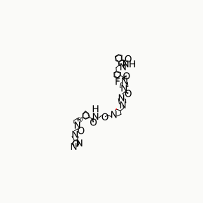 O=C(NCCOCCN1CCC(CN2CCN(CC(=O)N3CCN(C(=O)c4cc(Cc5n[nH]c(=O)c6ccccc56)ccc4F)CC3)CC2)CC1)c1cccc([C@H]2CCCN(C(=O)CN3Cc4cncnc4C3)C2)c1